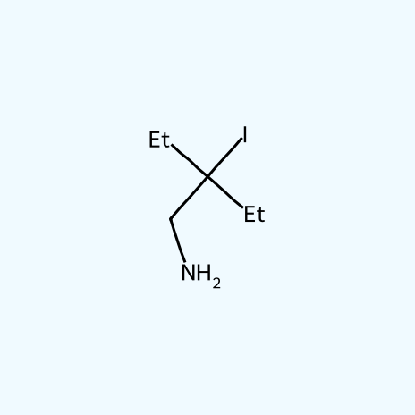 CCC(I)(CC)CN